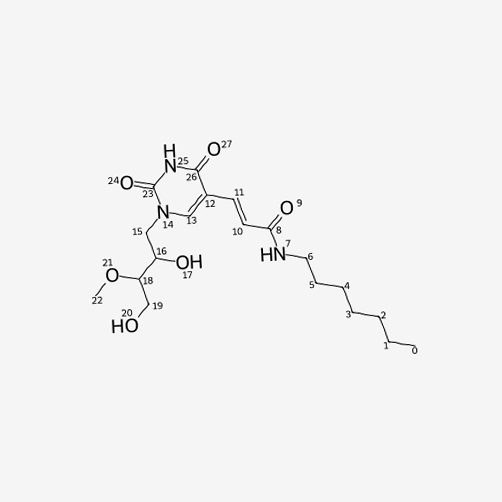 CCCCCCCNC(=O)/C=C/c1cn(CC(O)C(CO)OC)c(=O)[nH]c1=O